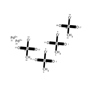 CS(=O)(=O)[O-].CS(=O)(=O)[O-].CS(=O)(=O)[O-].CS(=O)(=O)[O-].[Pd+2].[Pd+2]